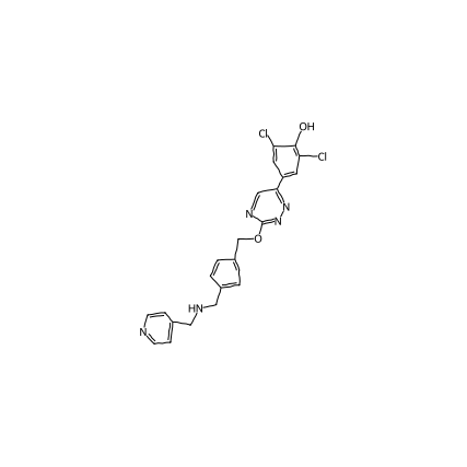 Oc1c(Cl)cc(-c2cnc(OCc3ccc(CNCc4ccncc4)cc3)nn2)cc1Cl